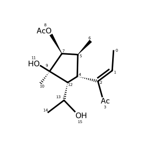 C/C=C(/C(C)=O)[C@H]1[C@H](C)[C@H](OC(C)=O)[C@](C)(O)[C@H]1C(C)O